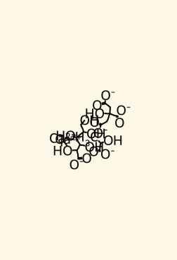 CC(O)C(=O)[O-].O=C([O-])C(O)C(O)C(O)C(O)CO.O=C([O-])CC(O)(CC(=O)[O-])C(=O)[O-].[Ca+2].[Ca+2].[K+]